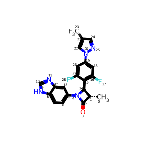 C[C@@H]1C(=O)N(c2ccc3[nH]cnc3c2)C1c1c(F)cc(-n2cc(C(F)(F)F)cn2)cc1F